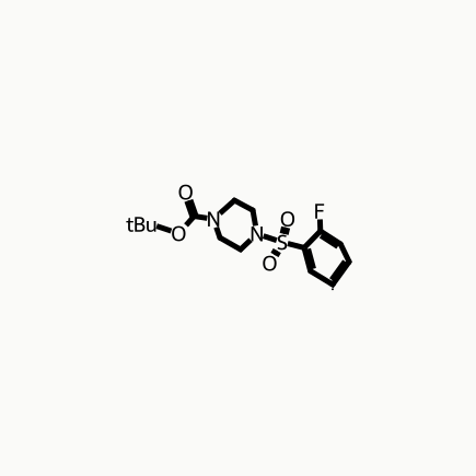 CC(C)(C)OC(=O)N1CCN(S(=O)(=O)c2c[c]ccc2F)CC1